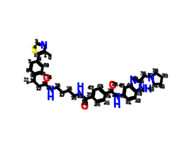 Cc1ncsc1-c1ccc([C@@H](C)CC(=O)NCCCCNC(=O)c2ccc(C(=O)Nc3ccc4[nH]c(CN5CCC[C@@H]5C)nc4c3)cc2)cc1